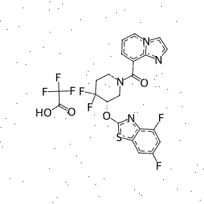 O=C(O)C(F)(F)F.O=C(c1cccn2ccnc12)N1CCC(F)(F)[C@@H](Oc2nc3c(F)cc(F)cc3s2)C1